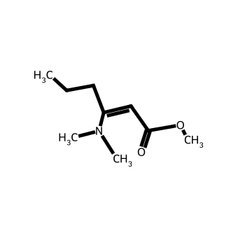 CCC/C(=C/C(=O)OC)N(C)C